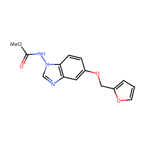 COC(=O)Nn1cnc2cc(OCc3ccco3)ccc21